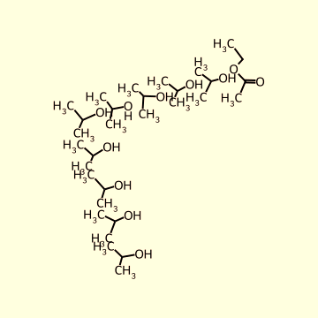 CC(C)O.CC(C)O.CC(C)O.CC(C)O.CC(C)O.CC(C)O.CC(C)O.CC(C)O.CC(C)O.CCOC(C)=O